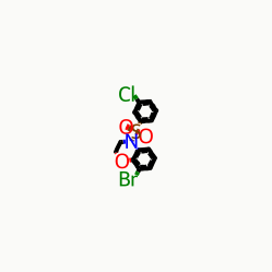 O=S(=O)(c1cccc(Cl)c1)N1CCOc2c(Br)cccc21